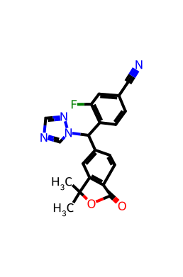 CC1(C)OC(=O)c2ccc(C(c3ccc(C#N)cc3F)n3cncn3)cc21